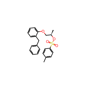 Cc1ccc(S(=O)(=O)O[C@H](C)COc2ccccc2Cc2ccccc2)cc1